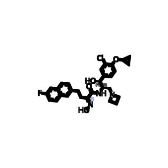 O=C(N[C@H](CN1CCC1)[C@H](O)c1ccc(OC2CC2)c(Cl)c1)/C(CCc1ccc2cc(F)ccc2c1)=N/O